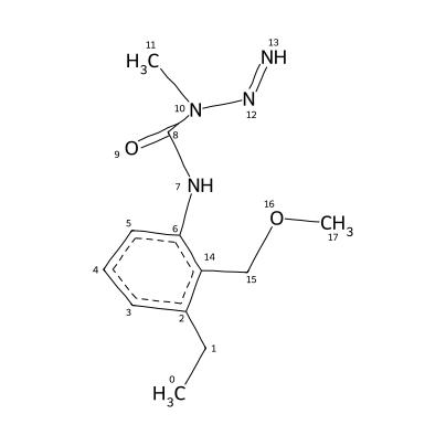 CCc1cccc(NC(=O)N(C)N=N)c1COC